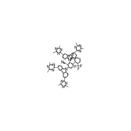 Cc1nc(C)nc(-c2ccc3c(c2)c2cc(-c4nc(C)nc(C)n4)ccc2n3-c2ccc(-c3c(C(F)(F)F)cccc3C(F)(F)F)c(-n3c4ccc(-c5nc(C)nc(C)n5)cc4c4cc(-c5nc(C)nc(C)n5)ccc43)c2C#N)n1